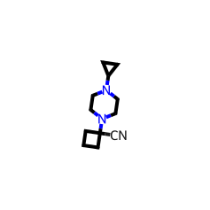 N#CC1(N2CCN(C3CC3)CC2)CCC1